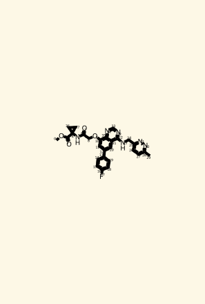 COC(=O)C1(NC(=O)COc2cc(-c3ccc(F)cc3)cc3c(NCc4ccc(C)nn4)ncnc23)CC1